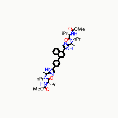 CCCN(C(=O)[C@@H](NC(=O)OC)C(C)C)[C@@H](C)c1ncc(-c2ccc(-c3ccc(-c4cnc([C@H](C)N(CCC)C(=O)[C@@H](NC(=O)OC)C(C)C)[nH]4)c4ccccc34)cc2)[nH]1